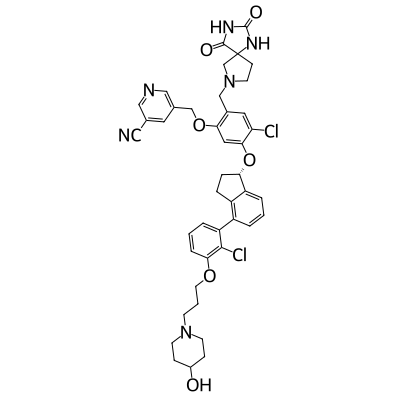 N#Cc1cncc(COc2cc(O[C@H]3CCc4c(-c5cccc(OCCCN6CCC(O)CC6)c5Cl)cccc43)c(Cl)cc2CN2CCC3(C2)NC(=O)NC3=O)c1